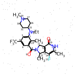 CCN(c1cc(C(F)(F)F)cc(C(=O)N2Cc3c(c(F)c(C)[nH]c3=O)C2C)c1C)C1CCN(C)CC1